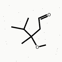 COC(C)(CC=O)C(C)C